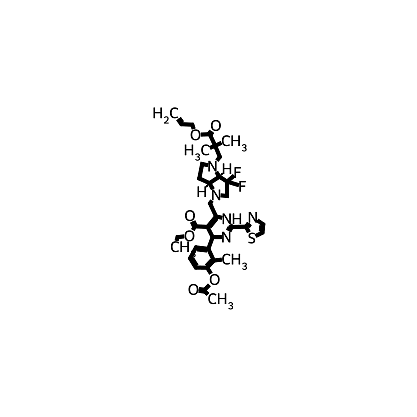 C=CCOC(=O)C(C)(C)CN1CC[C@H]2[C@@H]1C(F)(F)CN2CC1=C(C(=O)OCC)C(c2cccc(OC(C)=O)c2C)N=C(c2nccs2)N1